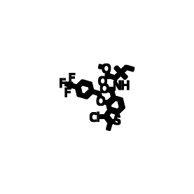 CCC(C)(C)[C@H](NC(=O)c1ccc2sc(C)c(Cl)c2c1OCc1ccc(C(F)(F)F)cc1)C(=O)OC